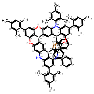 Cc1cc(C)c(-c2cc3c4c(c2)Oc2cc5c(cc2B4c2cc4c(cc2O3)Nc2cc(-c3c(C)cc(C)cc3C)cc3c2B4c2sc4ccccc4c2N3c2ccccc2)B2c3sc4ccccc4c3Oc3cc(-c4c(C)cc(C)cc4C)cc(c32)N5c2c(C)cc(C)cc2C)c(C)c1